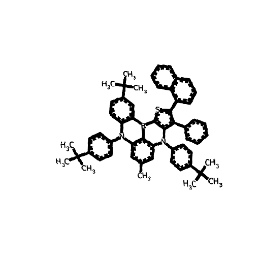 Cc1cc2c3c(c1)N(c1ccc(C(C)(C)C)cc1)c1c(sc(-c4cccc5ccccc45)c1-c1ccccc1)B3c1cc(C(C)(C)C)ccc1N2c1ccc(C(C)(C)C)cc1